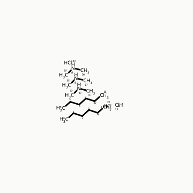 CCCCCC.CCCCCC.CNC.CNC.CNC.Cl.Cl.Cl